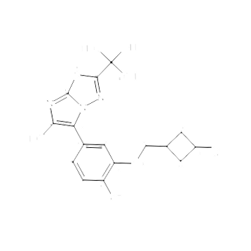 Cc1nc2sc(C(C)(C)O)nn2c1-c1ccc(C(F)(F)F)c(SCC2CC(O)C2)c1